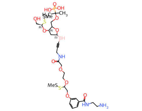 CSSC(COc1cccc(C(=O)NCCN)c1)OCCOCC(=O)NCC#CB[C@H]1C[C@@H](O[C@@H](CO)SSC)C(COC(C)(C)P(=O)(O)O)O1